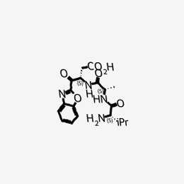 CC(C)[C@H](N)C(=O)N[C@@H](C)C(=O)N[C@@H](CC(=O)O)C(=O)c1nc2ccccc2o1